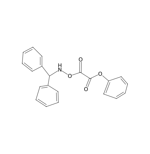 O=C(ONC(c1ccccc1)c1ccccc1)C(=O)Oc1ccccc1